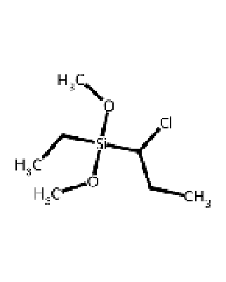 CCC(Cl)[Si](CC)(OC)OC